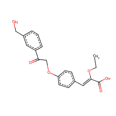 CCO/C(=C\c1ccc(OCC(=O)c2cccc(CO)c2)cc1)C(=O)O